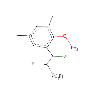 CCOC(=O)C(F)C(F)c1cc(C)cc(C)c1OP